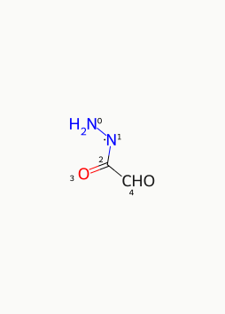 N[N]C(=O)C=O